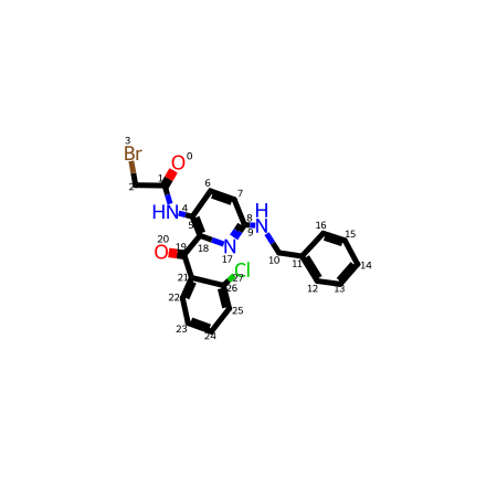 O=C(CBr)Nc1ccc(NCc2ccccc2)nc1C(=O)c1ccccc1Cl